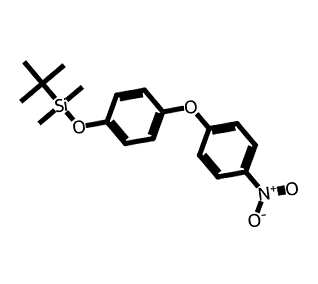 CC(C)(C)[Si](C)(C)Oc1ccc(Oc2ccc([N+](=O)[O-])cc2)cc1